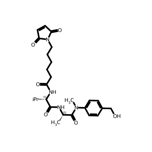 CC(C)[C@H](NC(=O)CCCCCN1C(=O)C=CC1=O)C(=O)N[C@@H](C)C(=O)N(C)c1ccc(CO)cc1